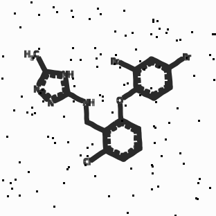 Cc1nnc(NCc2c(Cl)cccc2Oc2ccc(Br)cc2Br)[nH]1